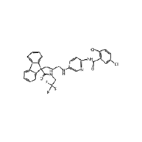 O=C(Nc1ccc(NCCCC2(C(=O)NCC(F)(F)F)c3ccccc3-c3ccccc32)cn1)c1cc(Cl)ccc1Cl